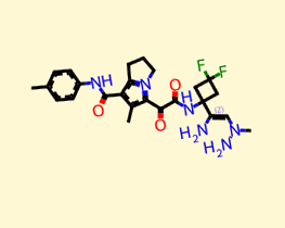 Cc1ccc(NC(=O)c2c(C)c(C(=O)C(=O)NC3(/C(N)=C/N(C)N)CC(F)(F)C3)n3c2CCC3)cc1